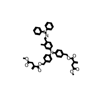 C=C(CC(=O)OC)C(=O)OCc1ccc(N(c2ccc(COC(=O)C(=C)CC(=O)OC)cc2)c2ccc(C=NN(c3ccccc3)c3ccccc3)c(C)c2)cc1